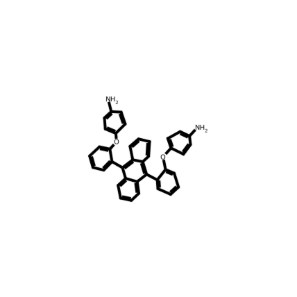 Nc1ccc(Oc2ccccc2-c2c3ccccc3c(-c3ccccc3Oc3ccc(N)cc3)c3ccccc23)cc1